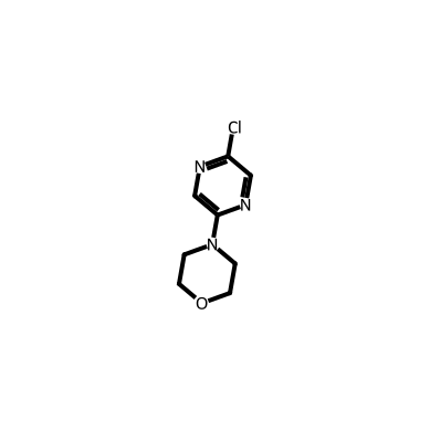 Clc1cnc(N2CCOCC2)cn1